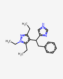 CCc1nn(CC)c(CC)c1C(Cc1ccccc1)c1c[nH]cn1